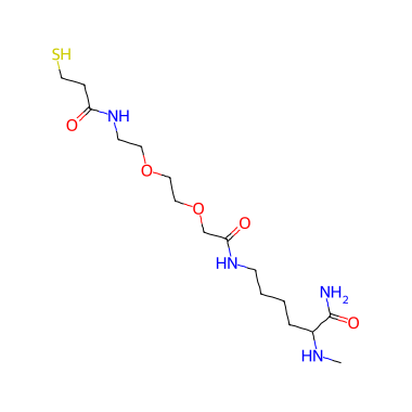 CNC(CCCCNC(=O)COCCOCCNC(=O)CCS)C(N)=O